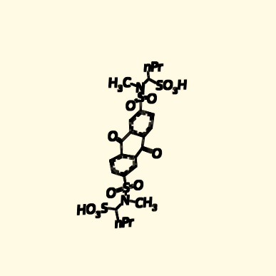 CCCC(N(C)S(=O)(=O)c1ccc2c(c1)C(=O)c1ccc(S(=O)(=O)N(C)C(CCC)S(=O)(=O)O)cc1C2=O)S(=O)(=O)O